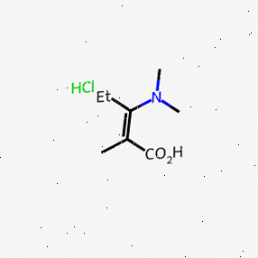 CCC(=C(C)C(=O)O)N(C)C.Cl